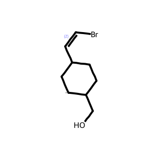 OCC1[CH]CC(/C=C\Br)CC1